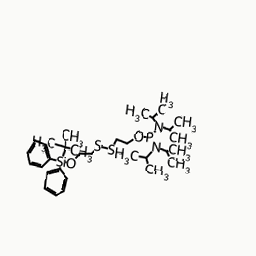 CC(C)N(C(C)C)P(OCCSSCCO[Si](c1ccccc1)(c1ccccc1)C(C)(C)C)N(C(C)C)C(C)C